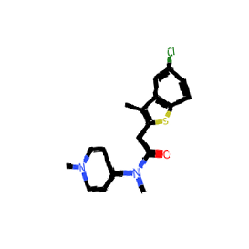 Cc1c(CC(=O)N(C)C2CCN(C)CC2)sc2ccc(Cl)cc12